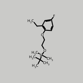 C[CH]c1cc(F)ccc1OCCO[Si](C)(C)C(C)(C)C